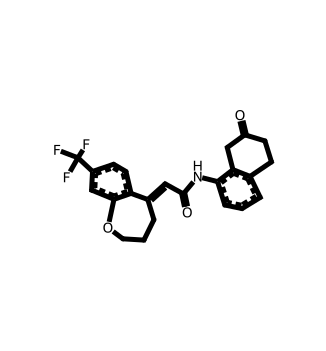 O=C1CCc2cccc(NC(=O)C=C3CCCOc4cc(C(F)(F)F)ccc43)c2C1